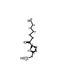 O=C(O)Cc1ccc(C(=O)CCCCCS)s1